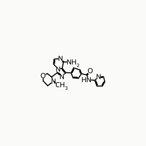 CN1CCOCC1c1nc(-c2ccc(C(=O)Nc3ccccn3)cc2)c2c(N)nccn12